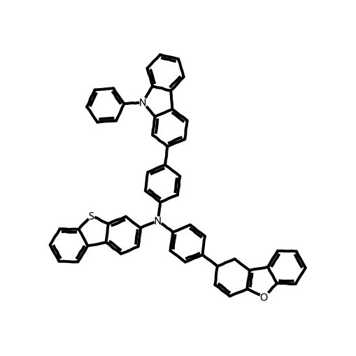 C1=CC(c2ccc(N(c3ccc(-c4ccc5c6ccccc6n(-c6ccccc6)c5c4)cc3)c3ccc4c(c3)sc3ccccc34)cc2)Cc2c1oc1ccccc21